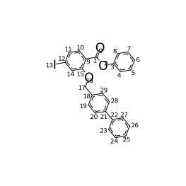 O=C(Oc1ccccc1)c1ccc(I)cc1OCc1ccc(-c2ccccc2)cc1